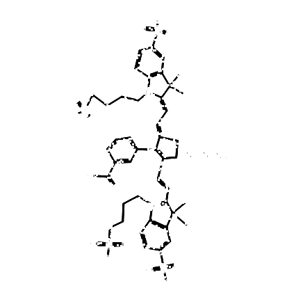 CC1(C)C(/C=C/C2=C(c3cccc(C(=O)O)c3)C(=C/C=C3\N(CCCCS(=O)(=O)[O-])c4ccc(S(=O)(=O)[O-])cc4C3(C)C)/CC2)=[N+](CCCCS(=O)(=O)[O-])c2ccc(S(=O)(=O)[O-])cc21.[Na+].[Na+].[Na+]